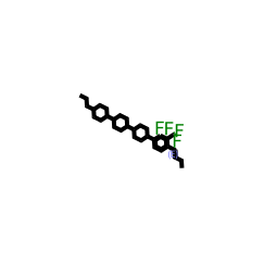 CC/C=C/c1ccc(C2CCC(C3CCC(C4CCC(CCC)CC4)CC3)CC2)c(F)c1C(F)(F)F